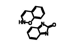 C1=Cc2ccccc2ON1.O=C1N=c2ccccc2=N1